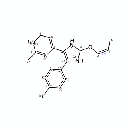 C/C=C\OC1NC(C2=CCNC(C)=N2)=C(c2ccc(F)cc2)N1